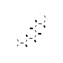 CO[SiH2][Si](=O)[Si](=O)[Si](=O)[Si](=O)[Si](=O)[Si](=O)[Si](=O)[SiH](C)O